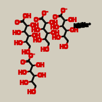 O=C(O)C(O)C(O)C(O)C(O)CO.O=C([O-])C(O)C(O)C(O)C(O)CO.O=C([O-])C(O)C(O)C(O)C(O)CO.O=C([O-])C(O)C(O)C(O)C(O)CO.[Na+].[Na+].[Na+]